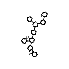 c1ccc(-c2nc(-c3ccc(-c4ccc(-c5ccc6sc7ccccc7c6c5)c5c4oc4ccccc45)cc3)cc(-c3cccc(-c4ccccn4)c3)n2)cc1